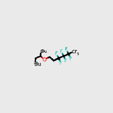 CC(C)(C)CC(OCCC(F)(F)C(F)(F)C(F)(F)C(F)(F)F)C(C)(C)C